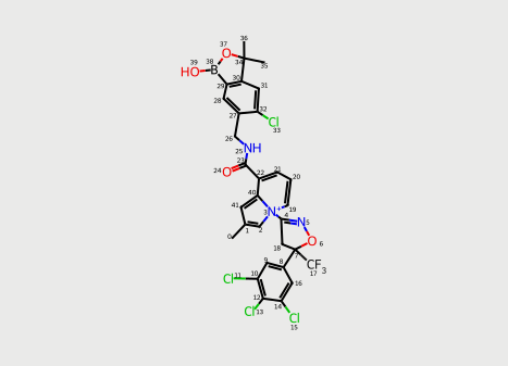 CC1=C[N+]2(C3=NOC(c4cc(Cl)c(Cl)c(Cl)c4)(C(F)(F)F)C3)C=CC=C(C(=O)NCc3cc4c(cc3Cl)C(C)(C)OB4O)C2=C1